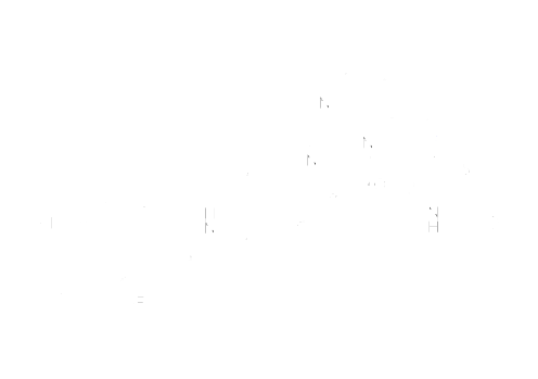 O=C1NC(=O)/C(=C\c2ccnc(N3CCC(CNCc4ccc(F)c(F)c4F)CC3)n2)S1